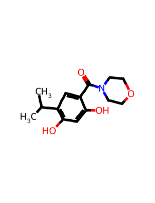 CC(C)c1cc(C(=O)N2CCOCC2)c(O)cc1O